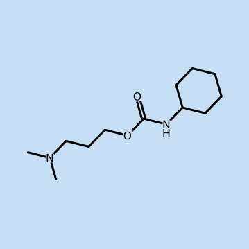 CN(C)CCCOC(=O)NC1CCCCC1